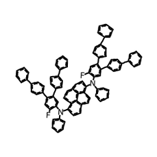 Fc1cc(-c2ccc(-c3ccccc3)cc2)c(-c2ccc(-c3ccccc3)cc2)cc1N(c1ccccc1)c1ccc2ccc3c(N(c4ccccc4)c4cc(-c5ccc(-c6ccccc6)cc5)c(-c5ccc(-c6ccccc6)cc5)cc4F)ccc4ccc1c2c43